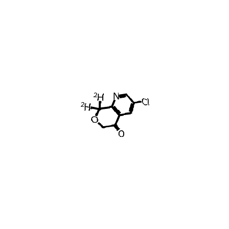 [2H]C1([2H])OCC(=O)c2cc(Cl)cnc21